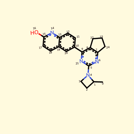 CC1CCN1c1nc2c(c(-c3ccc4nc(O)ccc4c3)n1)CCC2